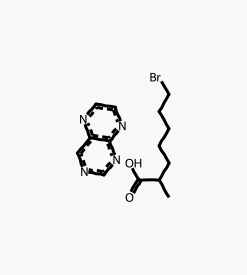 CC(CCCCCBr)C(=O)O.c1cnc2ncncc2n1